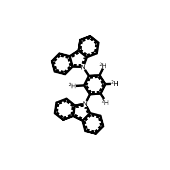 [2H]c1c([2H])c(-n2c3ccccc3c3ccccc32)c([2H])c(-n2c3ccccc3c3ccccc32)c1[2H]